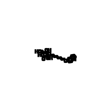 O=C[C@H](O)[C@@H](OCCCCCCCCOc1ccc2ncccc2c1)[C@H](O)[C@H](O)CO